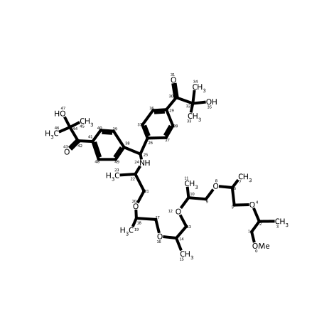 COCC(C)OCC(C)OCC(C)OCC(C)OCC(C)OCC(C)NC(c1ccc(C(=O)C(C)(C)O)cc1)c1ccc(C(=O)C(C)(C)O)cc1